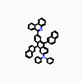 c1ccc(N(c2ccccc2)c2ccc3c(-c4ccc5ccccc5c4)c4cc(-c5nc6ccccc6c6ccccc56)ccc4c(-c4ccc5ccccc5c4)c3c2)cc1